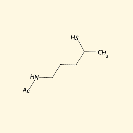 CC(=O)NCCCC(C)S